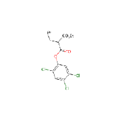 CCOC(=O)C(CC(C)C)C(=O)Oc1cc(Cl)c(Cl)cc1Cl